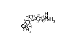 CC(=O)Nc1cccc(C#Cc2ccc(CC(=O)NN)cc2)c1.Cl